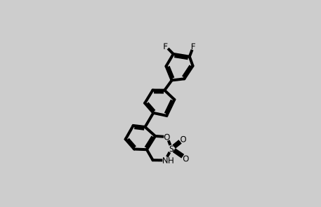 O=S1(=O)NCc2cccc(-c3ccc(-c4ccc(F)c(F)c4)cc3)c2O1